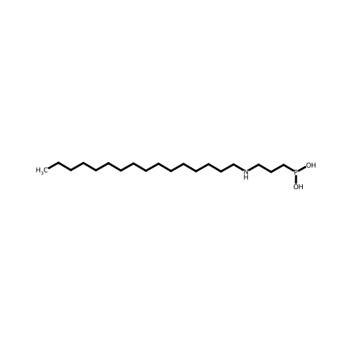 CCCCCCCCCCCCCCCCNCCCP(O)O